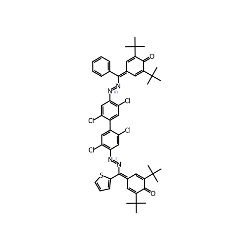 CC(C)(C)C1=CC(=C(/N=N/c2cc(Cl)c(-c3cc(Cl)c(/N=N/C(=C4C=C(C(C)(C)C)C(=O)C(C(C)(C)C)=C4)c4cccs4)cc3Cl)cc2Cl)c2ccccc2)C=C(C(C)(C)C)C1=O